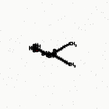 CCCCCCCCCCCCCCCC(=O)OCC(COP(=O)(O)OCCNC(=O)CCC/C=C/C(=O)NC(P(=O)(O)O)P(=O)(O)O)OC(=O)CCCCCCCCCCCCCCC